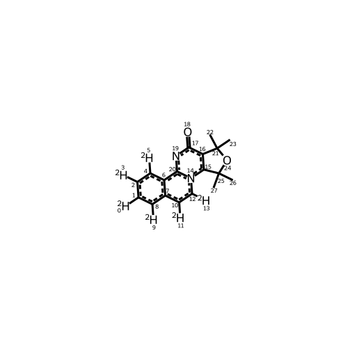 [2H]c1c([2H])c([2H])c2c(c1[2H])c([2H])c([2H])n1c3c(c(=O)nc21)C(C)(C)OC3(C)C